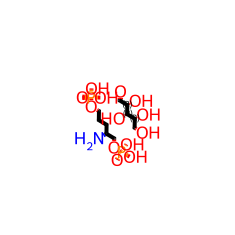 NC(CCCOP(=O)(O)O)COP(=O)(O)O.O=C[C@H](O)[C@H](O)[C@H](O)CO